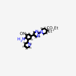 CCOC(=O)C1(CC)CCN(c2ncc(-c3cc(N=O)c(N)c(-c4ccccn4)c3)cn2)CC1